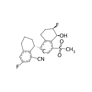 CS(=O)(=O)c1ccc([C@H]2CCCc3cc(F)cc(C#N)c32)c2c1[C@H](O)[C@H](F)CC2